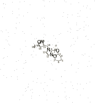 C[C@H](OC1CCCCO1)c1nccn1Cc1cc(I)on1